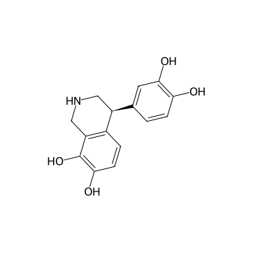 Oc1ccc([C@@H]2CNCc3c2ccc(O)c3O)cc1O